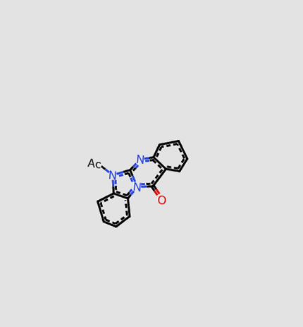 CC(=O)n1c2ccccc2n2c(=O)c3ccccc3nc12